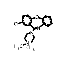 C[N+]1(C)CCN(C2=Nc3ccccc3Oc3ccc(Cl)cc32)CC1